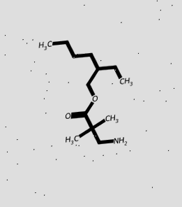 CCCCC(CC)COC(=O)C(C)(C)CN